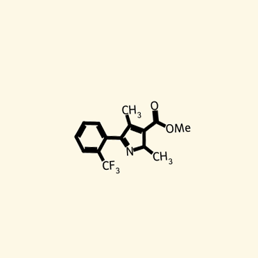 COC(=O)C1=C(C)C(c2ccccc2C(F)(F)F)=NC1C